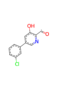 O=[C]c1ncc(-c2cccc(Cl)c2)cc1O